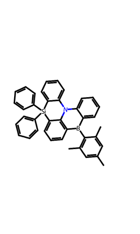 Cc1cc(C)c(B2c3ccccc3N3c4ccccc4[Si](c4ccccc4)(c4ccccc4)c4cccc2c43)c(C)c1